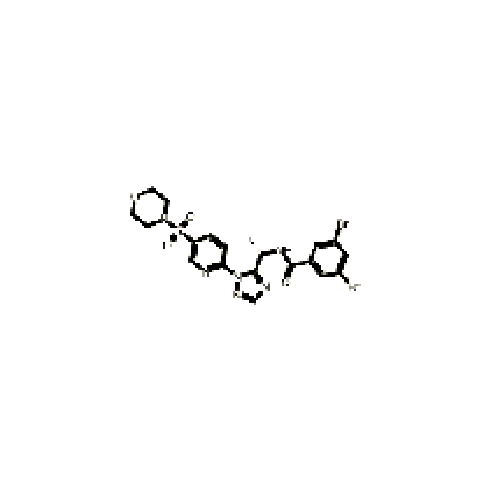 C[C@H](NC(=O)c1cc(Br)cc(Br)c1)c1ncnn1-c1ccc(S(=O)(=O)N2CCOCC2)cn1